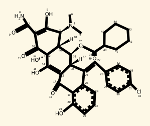 CN(C)[C@@H]1C(O)=C(C(N)=O)C(=O)[C@]2(O)C(O)=C3C(=O)c4c(O)cccc4/C(=C\c4ccc(Cl)cc4)[C@H]3[C@H](OC(=O)C3CCCCC3)[C@@H]12